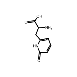 NC(Cc1cccc(=O)[nH]1)C(=O)O